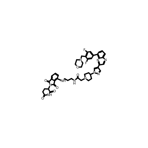 O=C(CN1CCC(n2cc(-c3cnc4cccc(-c5cc(F)c(CN6CCOCC6)c(F)c5)c4n3)cn2)CC1)NCCCNc1cccc2c1C(=O)N(C1CCC(=O)NC1=O)C2=O